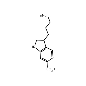 CCCCCCCCCCCCC1CNc2cc(C(=O)O)ccc21